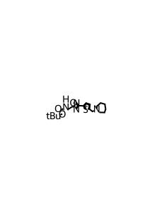 CC(C)(C)OC(=O)NCc1nc(-c2ccc(CN3CCCCCC3)s2)no1